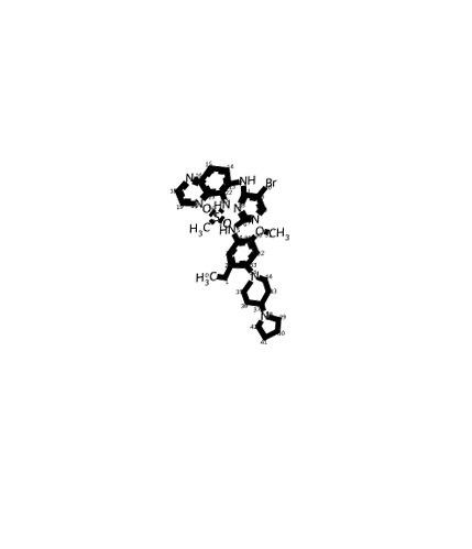 CCc1cc(Nc2ncc(Br)c(Nc3ccc4nccnc4c3NS(C)(=O)=O)n2)c(OC)cc1N1CCC(N2CCCC2)CC1